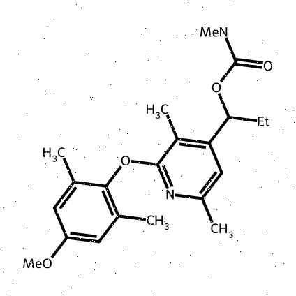 CCC(OC(=O)NC)c1cc(C)nc(Oc2c(C)cc(OC)cc2C)c1C